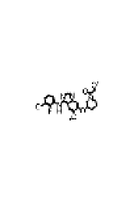 COCC(=O)N1CCCC(Oc2cc3ncnc(Nc4cccc(Cl)c4F)c3cc2OC)C1